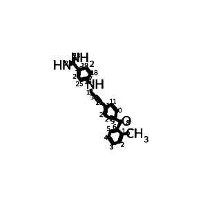 Cc1ccccc1C(=O)c1ccc(C#CCNc2ccc(C(=N)N)cc2)cc1